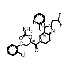 NC(=O)O[C@H](COc1ccccc1Cl)C(=O)N1CCC2=NN(CC(F)F)C(=O)[C@]2(Cc2ccccn2)C1